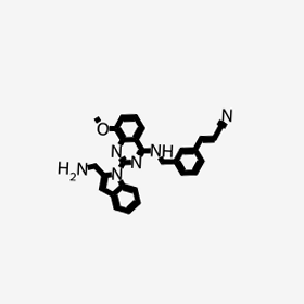 COc1cccc2c(NCc3cccc(/C=C/C#N)c3)nc(-n3c(CN)cc4ccccc43)nc12